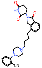 N#Cc1ccccc1N1CCN(CCCCc2cccc3c2CN(C2CCC(=O)NC2=O)C3=O)CC1